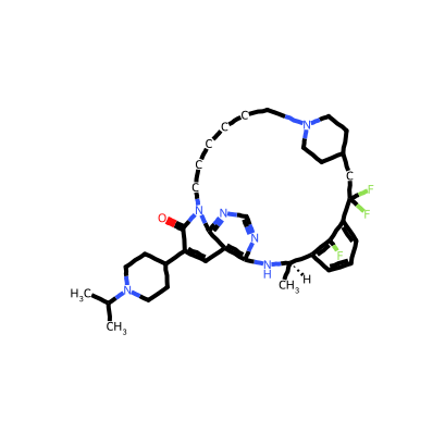 CC(C)N1CCC(c2cc3c4ncnc3n(c2=O)CCCCCCN2CCC(CC2)CC(F)(F)c2cccc(c2F)[C@@H](C)N4)CC1